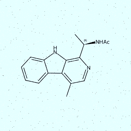 CC(=O)N[C@H](C)c1ncc(C)c2c1[nH]c1ccccc12